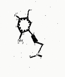 Cc1cc(C#CCN(C)C)c(N)cc1F